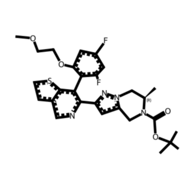 COCCOc1cc(F)cc(F)c1-c1c(-c2cc3n(n2)C[C@@H](C)N(C(=O)OC(C)(C)C)C3)ncc2ccsc12